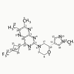 Cc1nc2nc(N3CCO[C@@H](c4cnn(C)c4)C3)nc(C34CC(C(F)(F)F)(C3)C4)c2nc1C